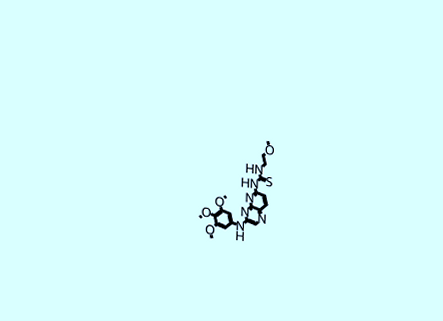 COCCNC(=S)Nc1ccc2ncc(Nc3cc(OC)c(OC)c(OC)c3)nc2n1